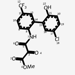 COC(=O)C(=O)C(=O)Nc1ccc(C(F)(F)F)cc1-c1cc(Cl)ccc1O